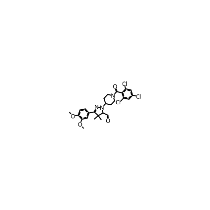 COc1ccc(C2=NN(C3CCN(C(=O)c4c(Cl)cc(Cl)cc4Cl)CC3)C(C=O)C2(C)C)cc1OC